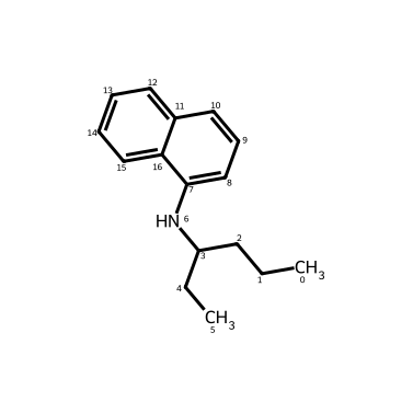 CCCC(CC)Nc1cccc2ccccc12